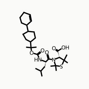 CC(C)C[C@H](NC(=O)OC(C)(C)C1CCC(C2C=CCCC2)CC1)C(=O)N1[C@H](C(=O)O)C(C)(C)SC1(C)C